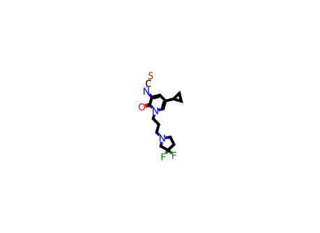 O=c1c(N=C=S)cc(C2CC2)cn1CCCN1CCC(F)(F)C1